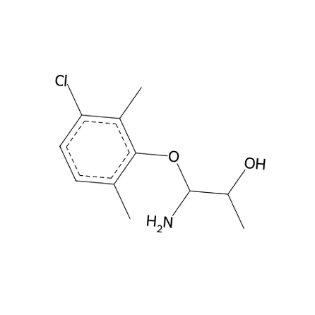 Cc1ccc(Cl)c(C)c1OC(N)C(C)O